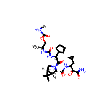 CC(C)NC(=O)OC[C@@H](NC(=O)N[C@H](C(=O)N1C[C@H]2[C@@H]([C@H]1C(=O)NC(CC1CC1)C(=O)C(N)=O)C2(C)C)C1CCCC1)C(C)(C)C